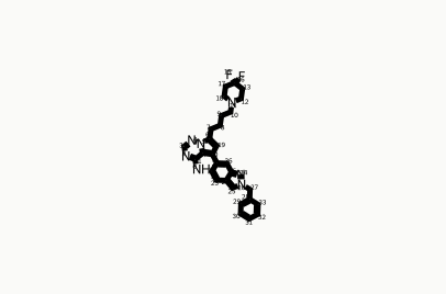 Nc1ncnn2c(CCCCN3CCC(F)(F)CC3)cc(-c3ccc4cn(Cc5ccccc5)nc4c3)c12